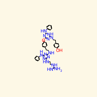 N=C(N)NCCNc1nc(NCCc2ccc(Oc3nc(NCCc4ccc(O)cc4)nc(Nc4ccccc4)n3)cc2)nc(Nc2ccccc2)n1